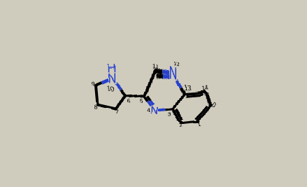 c1ccc2nc(C3CCCN3)cnc2c1